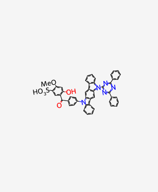 COc1cc(O)c(C(=O)c2ccc(-n3c4ccccc4c4cc5c(cc43)c3ccccc3n5-c3nc(-c4ccccc4)nc(-c4ccccc4)n3)cc2)cc1S(=O)(=O)O